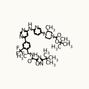 C[C@@H](NC(=O)c1nc(C(C)(C)C)no1)c1ccc(-c2cc(Nc3ccc(N4CCN(C(=O)OC(C)(C)C)C[C@@H]4C)cn3)ncn2)cc1C(F)(F)F